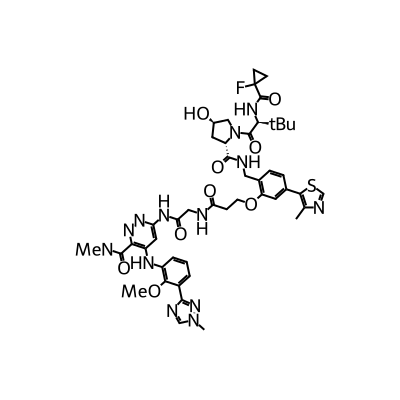 CNC(=O)c1nnc(NC(=O)CNC(=O)CCOc2cc(-c3scnc3C)ccc2CNC(=O)[C@@H]2C[C@@H](O)CN2C(=O)[C@@H](NC(=O)C2(F)CC2)C(C)(C)C)cc1Nc1cccc(-c2ncn(C)n2)c1OC